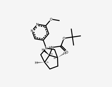 COc1cc(N2C[C@H]3CC[C@@H](C2)[C@@H]3NC(=O)OC(C)(C)C)cnn1